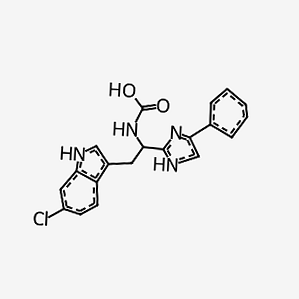 O=C(O)NC(Cc1c[nH]c2cc(Cl)ccc12)c1nc(-c2ccccc2)c[nH]1